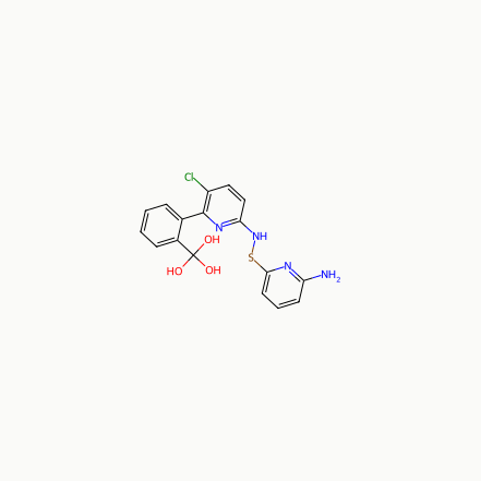 Nc1cccc(SNc2ccc(Cl)c(-c3ccccc3C(O)(O)O)n2)n1